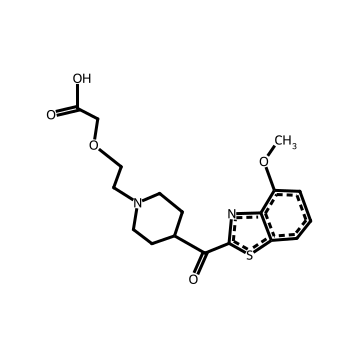 COc1cccc2sc(C(=O)C3CCN(CCOCC(=O)O)CC3)nc12